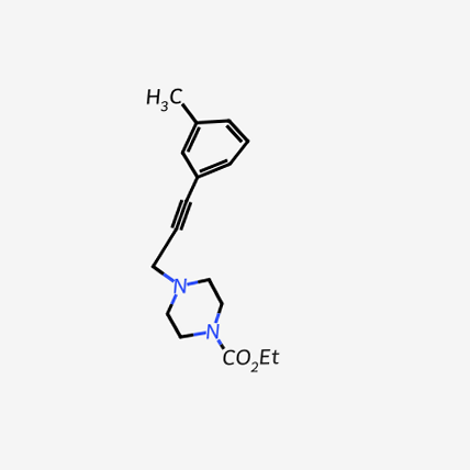 CCOC(=O)N1CCN(CC#Cc2cccc(C)c2)CC1